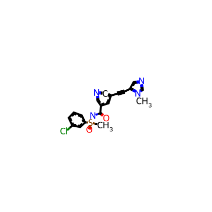 Cn1cncc1C#Cc1cncc(C(=O)N=S(C)(=O)c2cccc(Cl)c2)c1